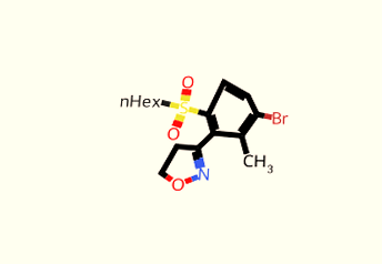 CCCCCCS(=O)(=O)c1ccc(Br)c(C)c1C1=NOCC1